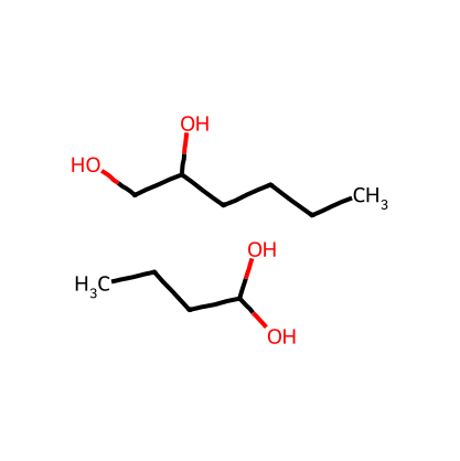 CCCC(O)O.CCCCC(O)CO